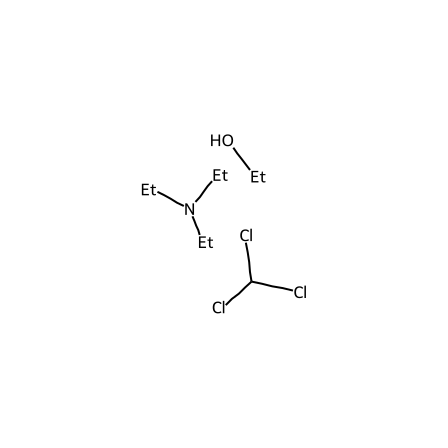 CCN(CC)CC.CCO.ClC(Cl)Cl